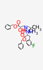 CC(C)CN(CC(O)C(=O)OCc1ccccc1)C(=O)NC(Cc1cccc(F)c1)C(=O)OCc1ccccc1